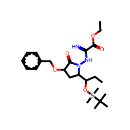 CCOC(=O)C(=N)NN1C(=O)C(OCc2ccccc2)CC1C(CC)O[Si](C)(C)C(C)(C)C